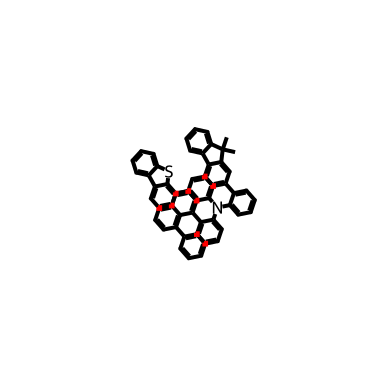 CC1(C)c2ccccc2-c2ccc(-c3ccccc3N(c3cccc(-c4cccc5c4sc4ccccc45)c3)c3ccccc3-c3cccc4cccc(-c5ccccc5)c34)cc21